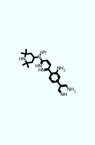 CCCN(C(=N)/C=C\C(=N)c1ccc(/C(C=N)=C/N)cc1N)C1CC(C)(C)NC(C)(C)C1